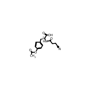 CC(=O)Oc1ccc(C[C@H](NC(=O)CCC#N)C(=O)O)cc1